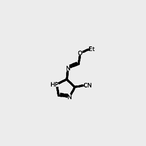 CCOC=NC1PC=NC1C#N